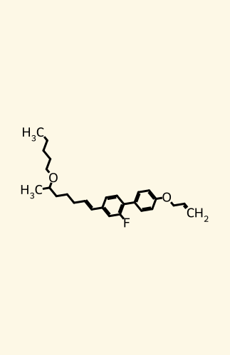 C=CCOc1ccc(-c2ccc(C=CCCCC(C)OCCCCC)cc2F)cc1